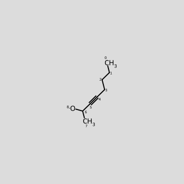 CCCCC#CC(C)[O]